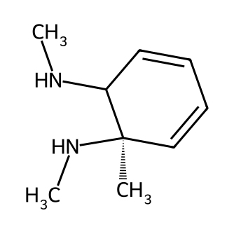 CNC1C=CC=C[C@@]1(C)NC